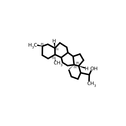 CC(O)C1CCC[C@]23CCC4C(CC[C@H]5C[C@H](C)CC[C@]45C)C2CC[C@H]13